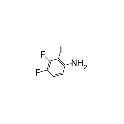 Nc1ccc(F)c(F)c1I